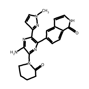 Cn1ccc(-c2nc(N)c(N3CCCCC3=O)nc2-c2ccc3c(=O)[nH]ccc3c2)n1